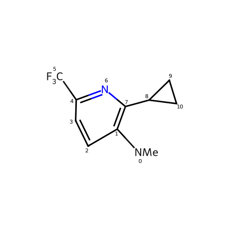 CNc1ccc(C(F)(F)F)nc1C1CC1